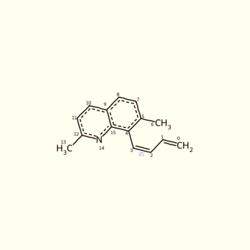 C=C/C=C\c1c(C)ccc2ccc(C)nc12